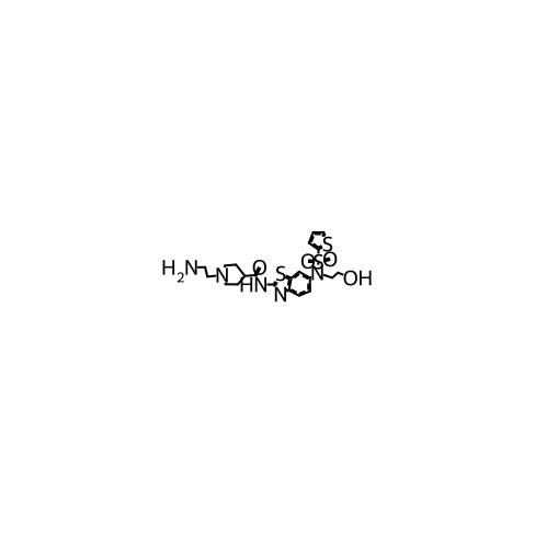 NCCN1CCC(C(=O)Nc2nc3ccc(N(CCO)S(=O)(=O)c4cccs4)cc3s2)CC1